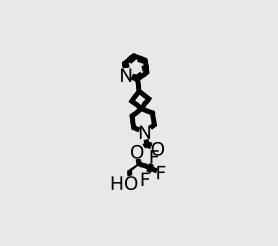 O=C(O[C@H](CO)C(F)(F)F)N1CCC2(CC1)CC(c1ccccn1)C2